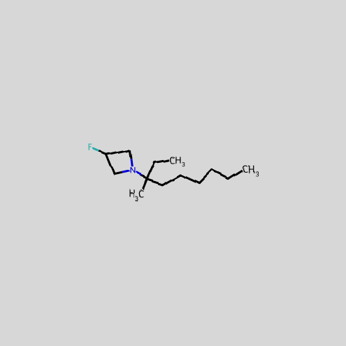 CCCCCCC(C)(CC)N1CC(F)C1